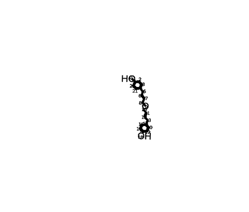 Oc1ccc(CC=CCOCC=CCc2ccc(O)cc2)cc1